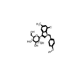 Cc1cc(Cl)c2c(c1)c([C@@H]1O[C@H](CO)[C@@H](O)[C@H](O)[C@H]1O)cn2Cc1ccc(OC(C)C)cc1